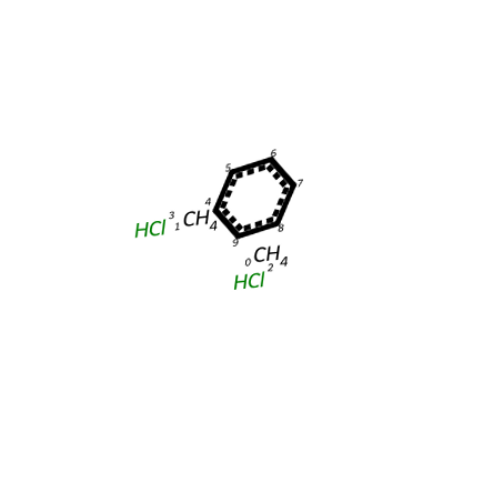 C.C.Cl.Cl.c1ccccc1